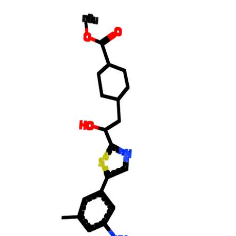 CCCCOC(=O)C1CCC(CC(O)c2ncc(-c3cc(C)cc(N)c3)s2)CC1